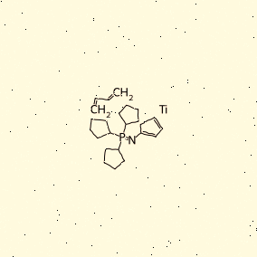 C1=CCC(N=P(C2CCCC2)(C2CCCC2)C2CCCC2)=C1.C=CC=C.[Ti]